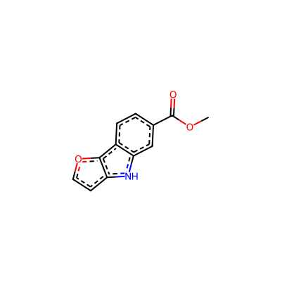 COC(=O)c1ccc2c(c1)[nH]c1ccoc12